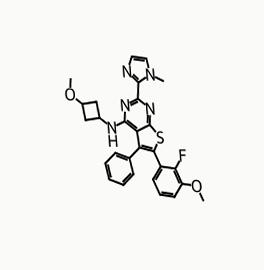 COc1cccc(-c2sc3nc(-c4nccn4C)nc(NC4CC(OC)C4)c3c2-c2ccccc2)c1F